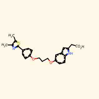 Cc1nc(-c2ccc(OCCCOc3ccc4[nH]c(CC(=O)O)cc4c3)cc2)sc1C